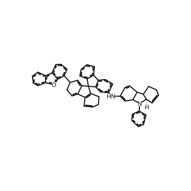 C1=CC2=C(CC1)C1(C3=CC(c4cccc5c4oc4ccccc45)CC=C32)c2ccccc2-c2ccc(NC3=CC4C(C=C3)C3CCC=C[C@H]3N4c3ccccc3)cc21